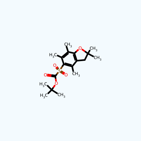 Cc1c(C)c(S(=O)(=O)C(=O)OC(C)(C)C)c(C)c2c1OC(C)(C)C2